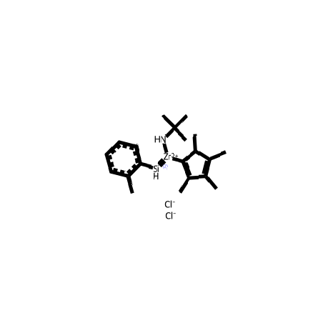 CC1=C(C)C(C)[C](/[Zr+2]([NH]C(C)(C)C)=[SiH]/c2ccccc2C)=C1C.[Cl-].[Cl-]